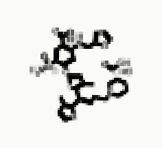 Cc1ccsc1C(=CCCN1CCC[C@@H](C(=O)O)C1)c1sccc1C.Cl.NS(=O)(=O)c1cc(C(=O)O)c(NCc2ccco2)cc1Cl